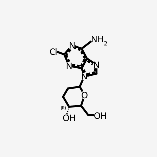 Nc1nc(Cl)nc2c1ncn2C1CC[C@@H](O)C(CO)O1